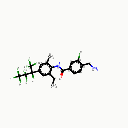 CCc1cc(C(F)(C(F)(F)F)C(F)(F)C(F)(F)F)cc(C)c1NC(=O)c1ccc(CN)c(F)c1